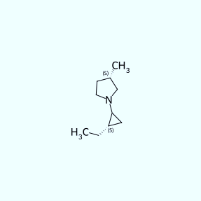 CC[C@H]1CC1N1CC[C@H](C)C1